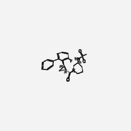 CS(=O)(=O)N[C@H]1CCCN(C(=O)[C@@H]2C[C@H]2c2c(F)cccc2-c2ccccc2)C1